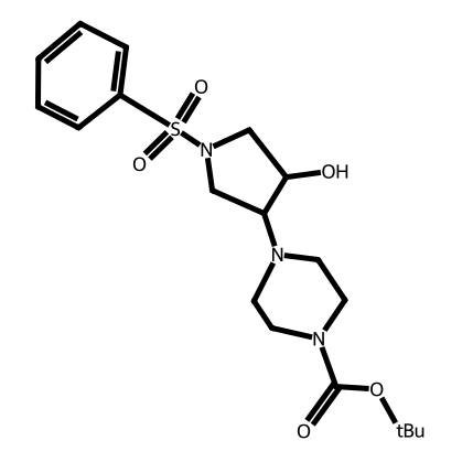 CC(C)(C)OC(=O)N1CCN(C2CN(S(=O)(=O)c3ccccc3)CC2O)CC1